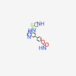 CNC(=O)COc1ccc(-c2cc(NC[C@H]3CNCCC3(F)F)c3nccnc3c2)cc1